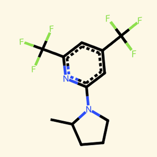 CC1CCCN1c1cc(C(F)(F)F)cc(C(F)(F)F)n1